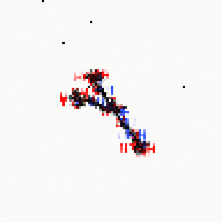 CCCC(=O)NC(CCCOC(=O)NCCCCCCNC(=O)CCCOC1OC(CO)C(O)C(O)C1NC(C)=O)(CCCOC(=O)NCCCCCCNC(=O)CCCOC1OC(CO)C(O)C(O)C1NC(C)=O)CCCOC(=O)NCCCCCCNC(=O)CCCOC1OC(CO)C(O)C(O)C1NC(C)=O